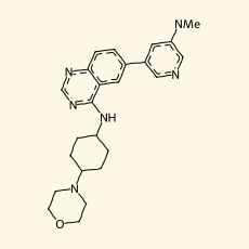 CNc1cncc(-c2ccc3ncnc(NC4CCC(N5CCOCC5)CC4)c3c2)c1